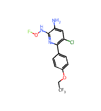 Nc1cc(Cl)c(-c2ccc(OCC(F)(F)F)cc2)nc1NOF